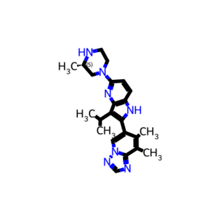 Cc1c(-c2[nH]c3ccc(N4CCN[C@@H](C)C4)nc3c2C(C)C)cn2ncnc2c1C